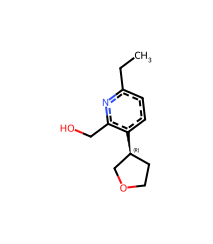 CCc1ccc([C@H]2CCOC2)c(CO)n1